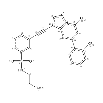 COCCNS(=O)(=O)c1cccc(C#Cc2cnn3c(C(F)(F)F)cc(-c4ccccc4C(F)(F)F)nc23)c1